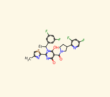 CCC(c1cc(F)cc(F)c1)n1c(-c2nc(C)cs2)nc(=O)c(C(=O)N2CCC(c3ncc(F)cc3F)C2)c1O